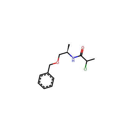 CC(Cl)C(=O)N[C@H](C)COCc1ccccc1